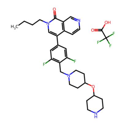 CCCCn1cc(-c2cc(F)c(CN3CCC(OC4CCNCC4)CC3)c(F)c2)c2ccncc2c1=O.O=C(O)C(F)(F)F